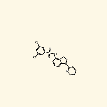 O=S(=O)(Nc1cccc2c1CCN2c1ncccn1)c1cc(Cl)cc(Cl)c1